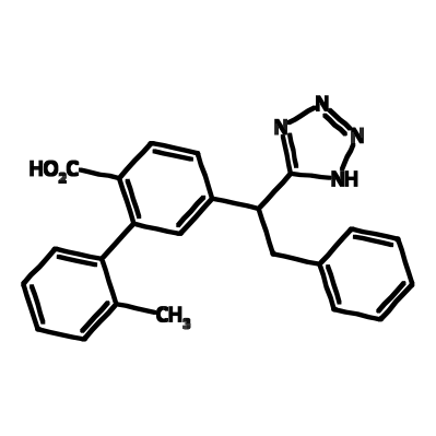 Cc1ccccc1-c1cc(C(Cc2ccccc2)c2nnn[nH]2)ccc1C(=O)O